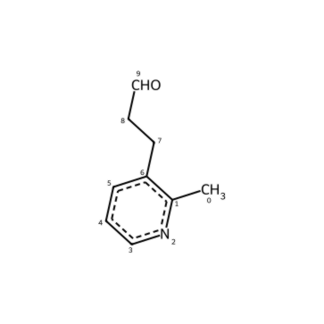 Cc1ncccc1CCC=O